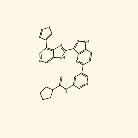 O=C(Nc1cncc(-c2ccc3[nH]nc(-c4nc5c(-c6ccsc6)cncc5[nH]4)c3n2)c1)C1CCCC1